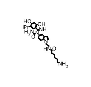 CC(C)c1cc(C(=N)N(C(N)=O)c2ccc3c(ccn3CCNC(=O)CCCCCN)c2)c(O)cc1O